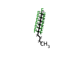 CCCCC(F)(F)C(F)(F)C(F)(F)C(F)(F)C(F)(F)C(F)(F)F